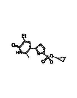 CCc1cc(-c2ccc(S(=O)(=O)OC3CC3)s2)c(C)[nH]c1=O